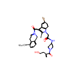 C=C(CCO)C(=O)N1CC(NC(=O)Cn2c(C)c(C(=O)N3CCc4c(cccc4OC)C3)c3cc(Br)ccc32)C1